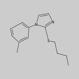 CCCCSc1nccn1-c1cccc(C)c1